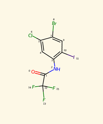 O=C(Nc1cc(Cl)c(Br)cc1I)C(F)(F)F